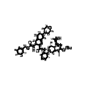 C[C@H]1CN(c2ccncc2NC(=O)c2nc3cc(N4CCOCC4)ccc3cc2NC(=O)OCc2ccccc2)C[C@@H](NC(=O)OC(C)(C)C)[C@H]1NC1=CN1